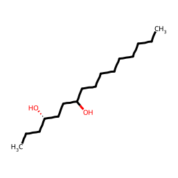 CCCCCCCCCC(O)CC[C@@H](O)CCC